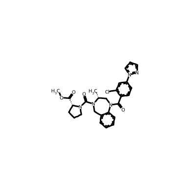 COC(=O)[C@H]1CCCN1C(=O)N1Cc2ccccc2N(C(=O)c2ccc(-n3cccn3)cc2Cl)C[C@H]1C